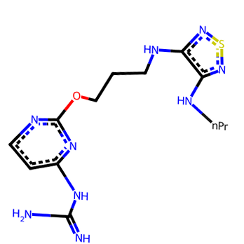 CCCNc1nsnc1NCCCOc1nccc(NC(=N)N)n1